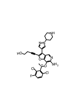 C[C@@H](Oc1c(N)ncc2c(-c3cnn(C4CCNCC4)c3)c(C#CCCO)oc12)c1c(Cl)ccc(F)c1Cl